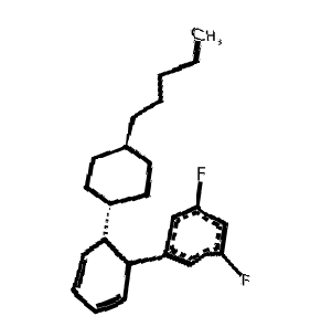 CCCCC[C@H]1CC[C@H](C2C=CC=CC2c2cc(F)cc(F)c2)CC1